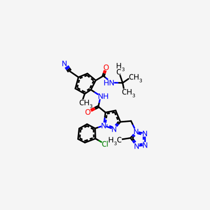 Cc1cc(C#N)cc(C(=O)NC(C)(C)C)c1NC(=O)c1cc(Cn2nnnc2C)nn1-c1ccccc1Cl